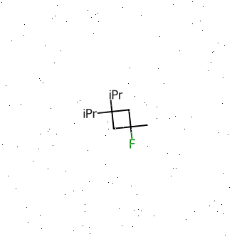 CC(C)C1(C(C)C)CC(C)(F)C1